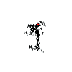 CCCCC1(CCCC)NS(O)(O)c2ccc(N(C)C)cc2[C@@H](c2ccc(OCCOCCOCC[N+](CC)(CC)CC)cc2)[C@H]1O.[I-]